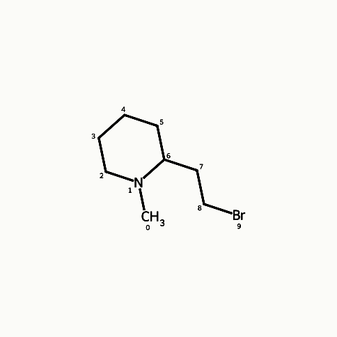 CN1CCCCC1CCBr